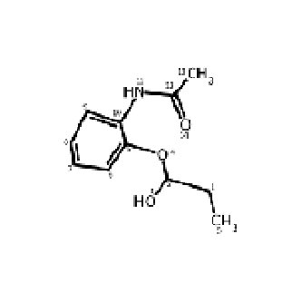 CCC(O)Oc1ccccc1NC(C)=O